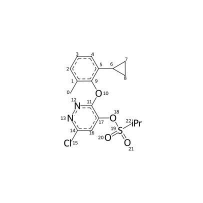 Cc1cccc(C2CC2)c1Oc1nnc(Cl)cc1OS(=O)(=O)C(C)C